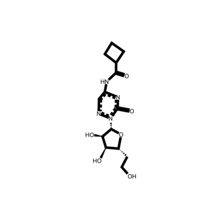 O=C(Nc1cnn([C@@H]2O[C@H](CCO)[C@@H](O)[C@H]2O)c(=O)n1)C1CCC1